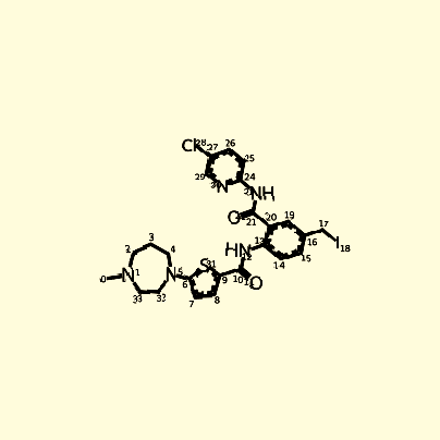 CN1CCCN(c2ccc(C(=O)Nc3ccc(CI)cc3C(=O)Nc3ccc(Cl)cn3)s2)CC1